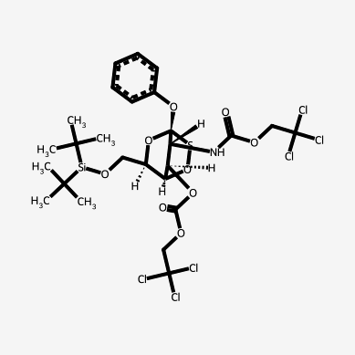 CC(C)(C)[Si](OC[C@H]1O[C@]2(Oc3ccccc3)SO[C@@H]1[C@H](OC(=O)OCC(Cl)(Cl)Cl)[C@H]2NC(=O)OCC(Cl)(Cl)Cl)C(C)(C)C